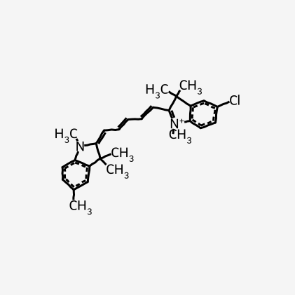 Cc1ccc2c(c1)C(C)(C)\C(=C/C=C/C=C/C1=[N+](C)c3ccc(Cl)cc3C1(C)C)N2C